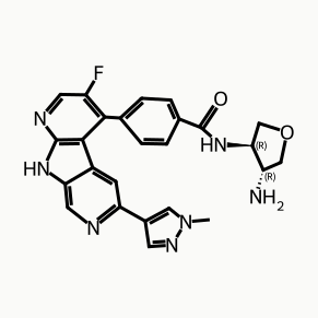 Cn1cc(-c2cc3c(cn2)[nH]c2ncc(F)c(-c4ccc(C(=O)N[C@H]5COC[C@@H]5N)cc4)c23)cn1